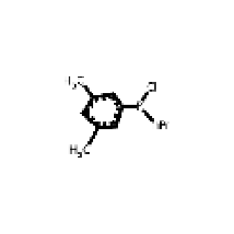 CCCP(Cl)c1cc(C)cc(C)c1